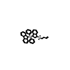 C=CCC[Si](C)(C)C1CC([Si](c2ccccc2)(c2ccccc2)C2C3C=CC=CC3C3C=CC=CC32)C2C=CC=CC21